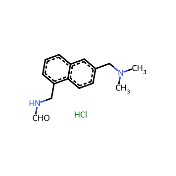 CN(C)Cc1ccc2c(CNC=O)cccc2c1.Cl